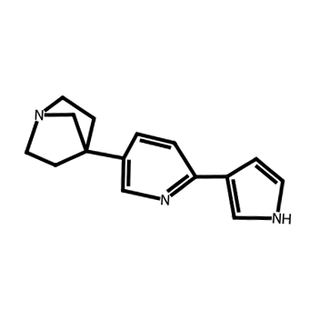 c1cc(-c2ccc(C34CCN(CC3)C4)cn2)c[nH]1